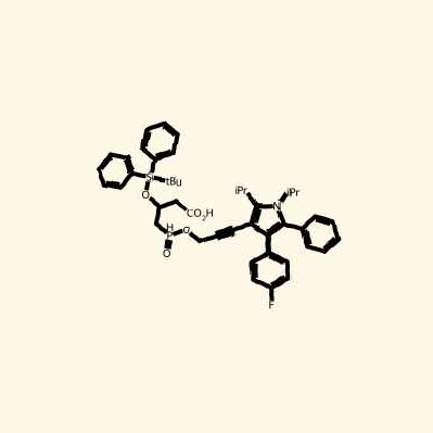 CC(C)c1c(C#CCO[PH](=O)CC(CC(=O)O)O[Si](c2ccccc2)(c2ccccc2)C(C)(C)C)c(-c2ccc(F)cc2)c(-c2ccccc2)n1C(C)C